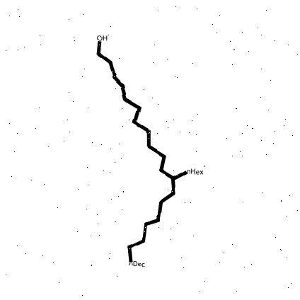 CCCCCCCCCCCCCCCCC(CCCCCC)CCCCCCCCCCCO